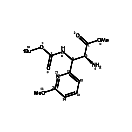 COC(=O)[C@@H](N)C(NC(=O)OC(C)(C)C)c1cccc(OC)n1